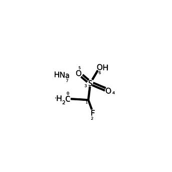 [CH2]C(F)S(=O)(=O)O.[NaH]